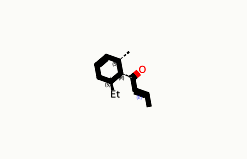 C/C=C/C(=O)[C@@H]1[C@@H](CC)CC=C[C@@H]1C